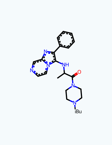 CCC(C)N1CCN(C(=O)C(C)Nc2c(-c3ccccc3)nc3cnccn23)CC1